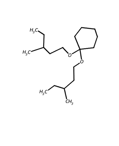 CCC(C)CCOC1(OCCC(C)CC)CCCCC1